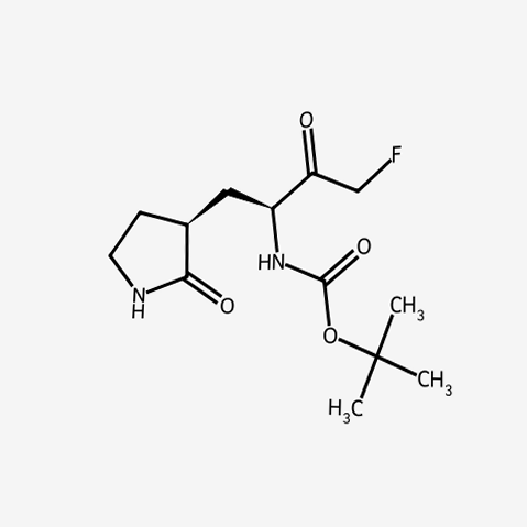 CC(C)(C)OC(=O)N[C@@H](C[C@@H]1CCNC1=O)C(=O)CF